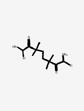 CCCCC(CC)C(=O)C(C)(C)CCC(C)(C)C(=O)C(CC)CCCC